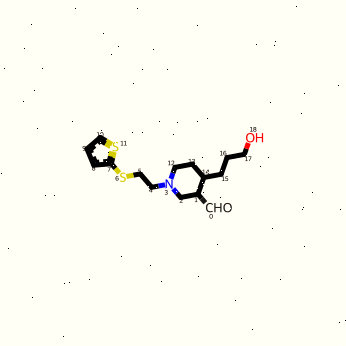 O=CC1CN(CCSc2cccs2)CCC1CCCO